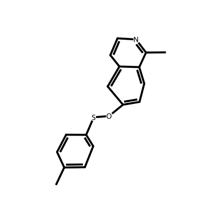 Cc1ccc(SOc2ccc3c(C)nccc3c2)cc1